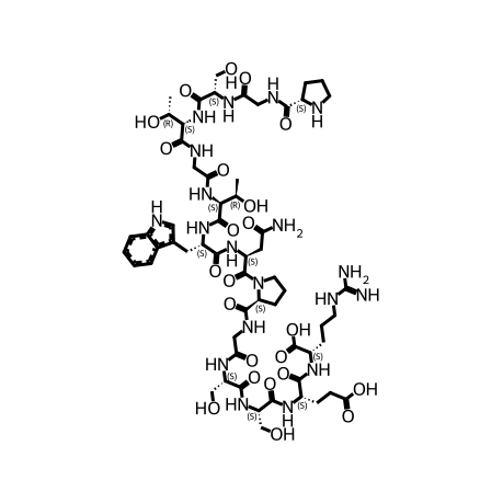 C[C@@H](O)[C@H](NC(=O)CNC(=O)[C@@H](NC(=O)[C@H](CO)NC(=O)CNC(=O)[C@@H]1CCCN1)[C@@H](C)O)C(=O)N[C@@H](Cc1c[nH]c2ccccc12)C(=O)N[C@@H](CC(N)=O)C(=O)N1CCC[C@H]1C(=O)NCC(=O)N[C@@H](CO)C(=O)N[C@@H](CO)C(=O)N[C@@H](CCC(=O)O)C(=O)N[C@@H](CCCNC(=N)N)C(=O)O